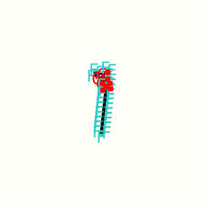 FC(F)(F)O[Si](OC(F)(F)F)(OC(F)(F)F)C(F)(F)C(F)(F)C(F)(F)C(F)(F)C(F)(F)C(F)(F)C(F)(F)C(F)(F)C(F)(F)C(F)(F)C(F)(F)C(F)(F)F